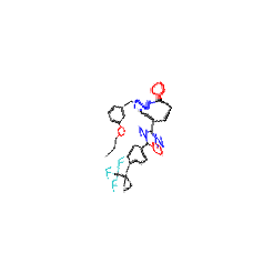 CCCOc1cccc(Cn2cc(-c3noc(-c4ccc(C5(C(F)(F)F)CC5)cc4)n3)ccc2=O)c1